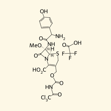 CO[C@@]1(NC(=O)C(N)c2ccc(O)cc2)C(=O)N2C(C(=O)O)=C(COC(=O)NC(=O)C(Cl)(Cl)Cl)CS[C@@H]21.O=C(O)C(F)(F)F